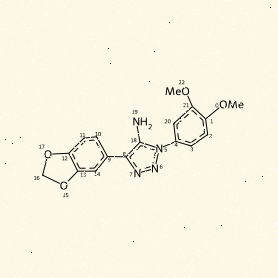 COc1ccc(-n2nnc(-c3ccc4c(c3)OCO4)c2N)cc1OC